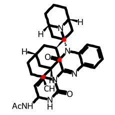 CC(=O)NC1C=CN(c2nc3ccccc3n([C@H]3C[C@H]4CCC[C@@H](C3)N4C[C@@H]3C[C@H]4CC[C@H](C)[C@H](C4)C3)c2=O)C(=O)N1